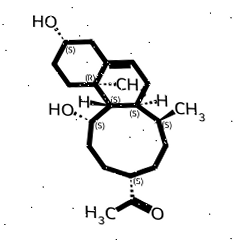 CC(=O)[C@H]1CC[C@H](C)[C@@H]2CC=C3C[C@@H](O)CC[C@]3(C)[C@H]2[C@@H](O)CC1